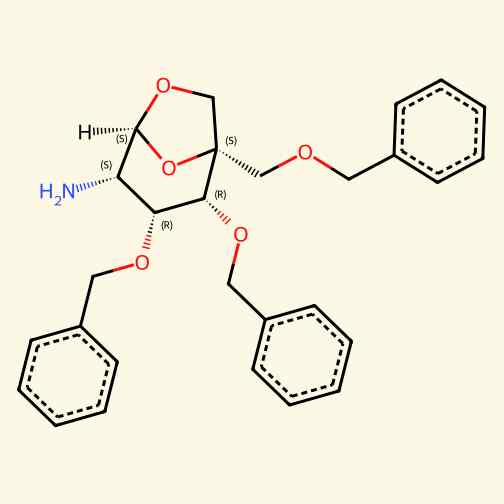 N[C@@H]1[C@H]2OC[C@](COCc3ccccc3)(O2)[C@H](OCc2ccccc2)[C@@H]1OCc1ccccc1